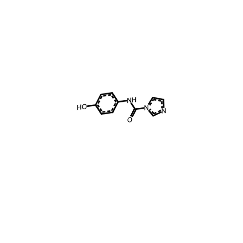 O=C(Nc1ccc(O)cc1)n1ccnc1